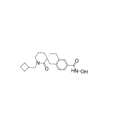 O=C(NO)c1ccc2c(c1)CC[C@]1(CCCN(CC3CCC3)C1=O)C2